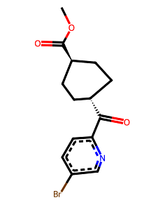 COC(=O)[C@H]1CC[C@H](C(=O)c2ccc(Br)cn2)CC1